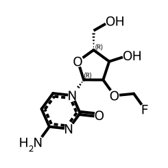 Nc1ccn([C@@H]2O[C@H](CO)C(O)C2OCF)c(=O)n1